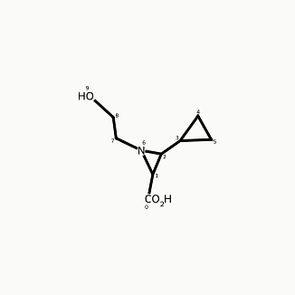 O=C(O)C1C(C2CC2)N1CCO